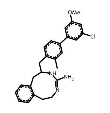 COc1cc(Cl)cc(-c2ccc(CC3Cc4ccccc4CC/N=C(/N)N3)c(C)c2)c1